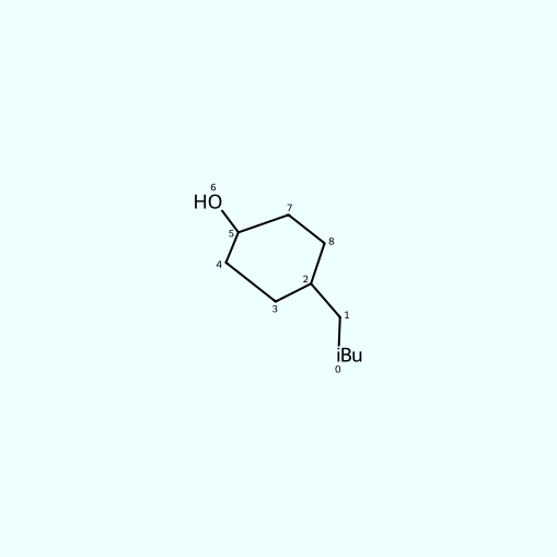 CCC(C)CC1CCC(O)CC1